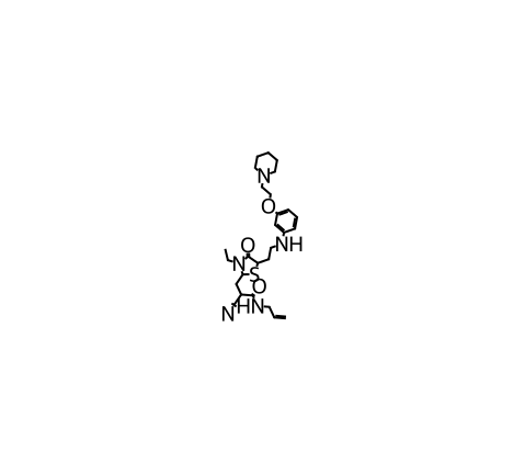 C=CCNC(=O)C(C#N)CC1SC(CCNc2cccc(OCCN3CCCCC3)c2)C(=O)N1CC